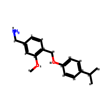 COc1cc(CN)ccc1COc1ccc(C(C)C)cc1